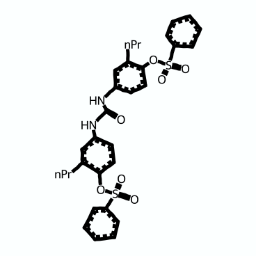 CCCc1cc(NC(=O)Nc2ccc(OS(=O)(=O)c3ccccc3)c(CCC)c2)ccc1OS(=O)(=O)c1ccccc1